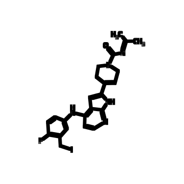 CC(C)=NC(=O)N1CC=C(c2cc3c(Nc4ccc(F)c(CI)c4)ccnc3[nH]2)CC1